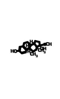 C#C[C@]1(O)CC[C@H]2[C@H]3CCc4cc(O)ccc4[C@H]3[C@H](C)C[C@@]21C